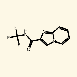 O=C(NC(F)(F)F)c1cn2ccccc2n1